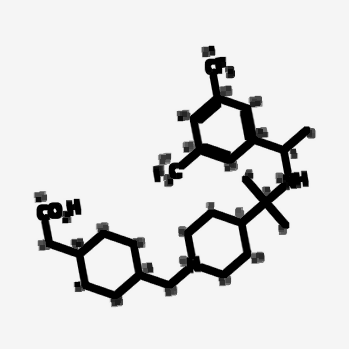 CC(NC(C)(C)C1CCN(CC2CCC(CC(=O)O)CC2)CC1)c1cc(C(F)(F)F)cc(C(F)(F)F)c1